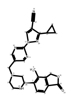 Cc1c([C@@H]2CN(Cc3cnc(-n4cc(C#N)c(C5CC5)n4)nc3)CCN2)ccc2c1COC2=O